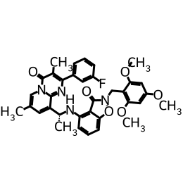 COc1cc(OC)c(Cn2oc3cccc(N[C@H](C)c4cc(C)cn5c(=O)c(C)c(-c6cccc(F)c6)nc45)c3c2=O)c(OC)c1